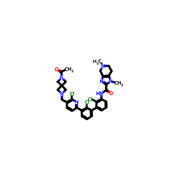 CC(=O)N1CC2(CN(Cc3ccc(-c4cccc(-c5cccc(NC(=O)c6nc7c(n6C)CCN(C)C7)c5Cl)c4Cl)nc3Cl)C2)C1